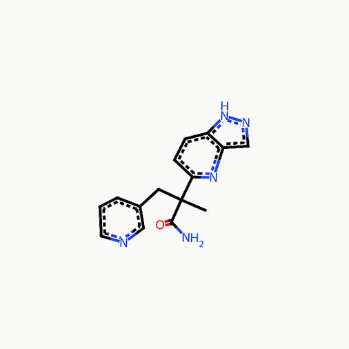 CC(Cc1cccnc1)(C(N)=O)c1ccc2[nH]ncc2n1